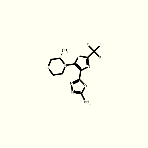 C[C@H]1COCCN1c1sc(C(F)(F)F)nc1-c1nnc(N)o1